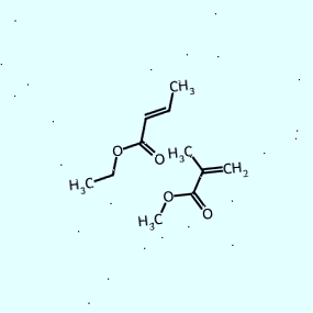 C/C=C/C(=O)OCC.C=C(C)C(=O)OC